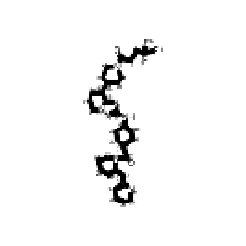 O=C(CCC(F)(F)F)N1CC=C(c2cccn3nc(Nc4ccc(C(=O)N5CCCCC5Cc5ccccn5)cc4)nc23)CC1